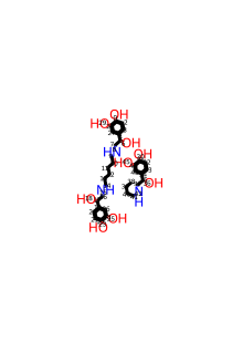 Oc1ccc(C(O)CNCCCCCCNCC(O)c2ccc(O)c(O)c2)cc1O.Oc1ccc([C@H](O)[C@H]2CCCCN2)cc1O